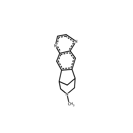 CN1CC2CC(C1)c1cc3nccnc3cc12